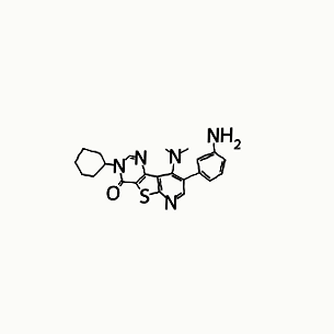 CN(C)c1c(-c2cccc(N)c2)cnc2sc3c(=O)n(C4CCCCC4)cnc3c12